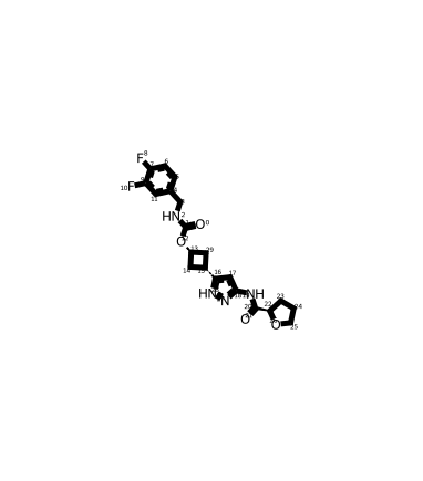 O=C(NCc1ccc(F)c(F)c1)O[C@H]1C[C@@H](c2cc(NC(=O)[C@H]3CCCO3)n[nH]2)C1